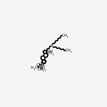 CCCCCCCCN(CCCCCCCC)CCC[C@]1(O)CCC2C3CCc4cc(O[Si](C)(C)C(C)(C)C)ccc4C3CC[C@@]21C